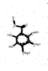 CCCCCCCc1c(O)c(O)c(C(=O)OF)c(CCCCCCC)c1CCCCCCC